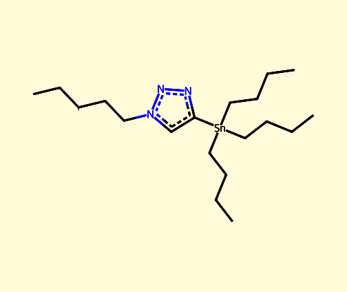 CC[CH]CCn1c[c]([Sn]([CH2]CCC)([CH2]CCC)[CH2]CCC)nn1